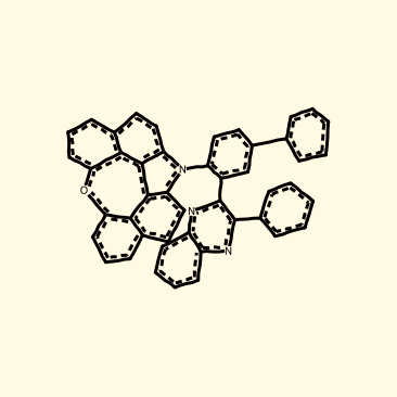 c1ccc(-c2ccc(-n3c4ccc5cccc6oc7cccc8ccc3c(c87)c4c56)c(-c3nc4ccccc4nc3-c3ccccc3)c2)cc1